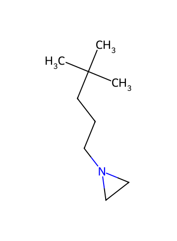 CC(C)(C)CCCN1CC1